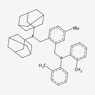 Cc1ccccc1P(Cc1cc(C(C)(C)C)ccc1CP(C12CC3CC(CC(C3)C1)C2)C12CC3CC(CC(C3)C1)C2)c1ccccc1C